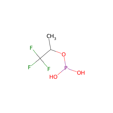 CC(OP(O)O)C(F)(F)F